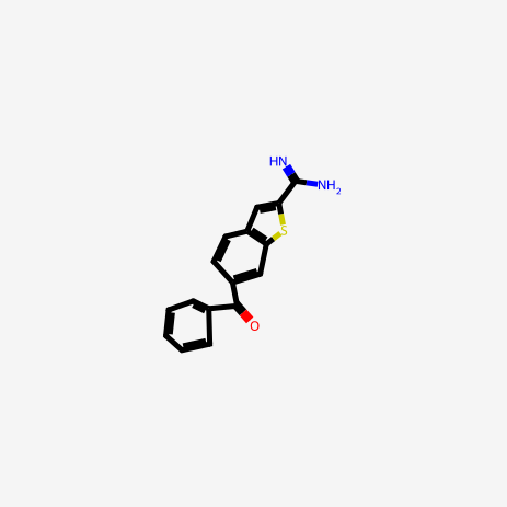 N=C(N)c1cc2ccc(C(=O)c3ccccc3)cc2s1